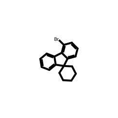 Brc1cccc2c1-c1ccccc1C21CCCCC1